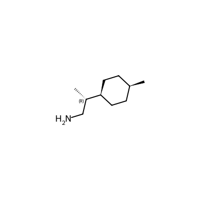 C[C@@H](CN)[C@H]1CC[C@@H](C)CC1